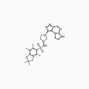 Cc1c(C)c(S(=O)(=O)N[C@H]2CC[C@@H](c3nnc4cnc5[nH]ccc5n34)C2)c(C)c2c1OC(C)(C)C2